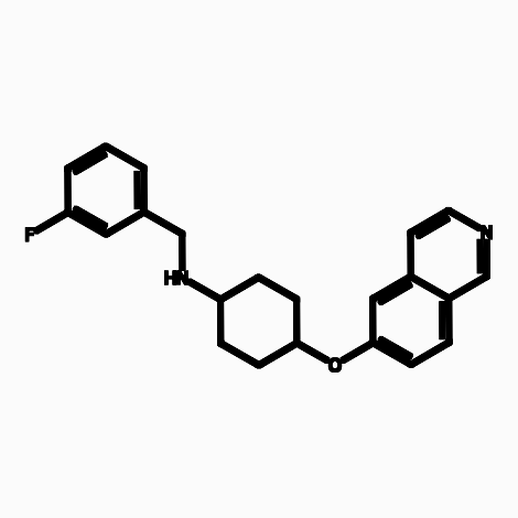 Fc1cccc(CNC2CCC(Oc3ccc4cnccc4c3)CC2)c1